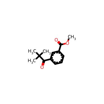 COC(=O)c1cccc(C(=O)C(C)(C)C)c1